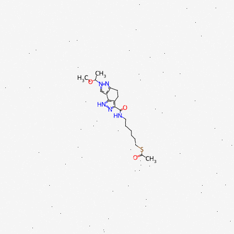 COC(C)n1cc2c(n1)CCc1c(C(=O)NCCCCCCSC(C)=O)n[nH]c1-2